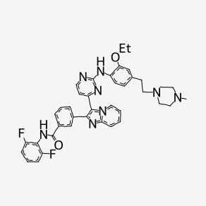 CCOc1cc(CCN2CCN(C)CC2)ccc1Nc1nccc(-c2c(-c3cccc(C(=O)Nc4c(F)cccc4F)c3)nc3ccccn23)n1